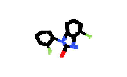 O=c1[nH]c2c(F)cccc2n1-c1ccccc1F